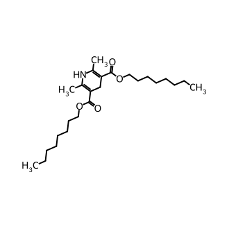 CCCCCCCCOC(=O)C1=C(C)NC(C)=C(C(=O)OCCCCCCCC)C1